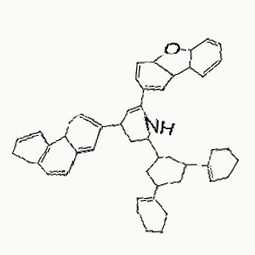 C1=CC2OC3C=CC(C4=CC(C5=CCC6C(=C5)C=CC5=C6C=CCC5)CC(C5CC(C6=CCCCC6)CC(C6=CCCCC6)C5)N4)=CC3C2C=C1